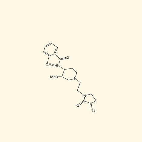 CCN1CCN(CCN2CCC(NC(=O)c3ccccc3OC)C(OC)C2)C1=O